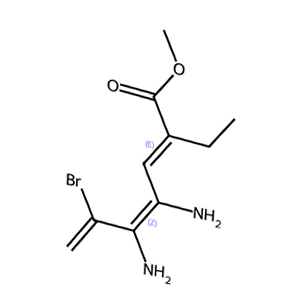 C=C(Br)/C(N)=C(N)\C=C(/CC)C(=O)OC